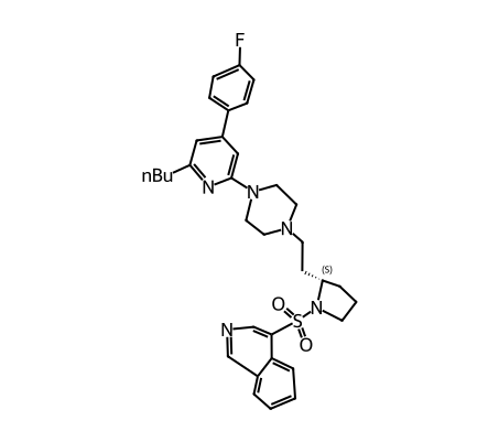 CCCCc1cc(-c2ccc(F)cc2)cc(N2CCN(CC[C@@H]3CCCN3S(=O)(=O)c3cncc4ccccc34)CC2)n1